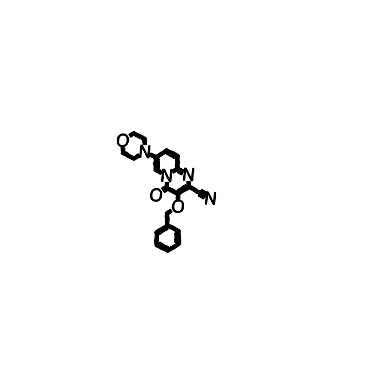 N#Cc1nc2ccc(N3CCOCC3)cn2c(=O)c1OCc1ccccc1